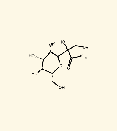 NC(=O)C(O)(CO)C1O[C@H](CO)[C@@H](O)[C@H](O)[C@@H]1O